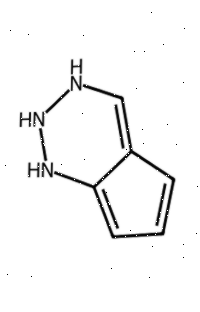 C1=CC2=CNNNC2=C1